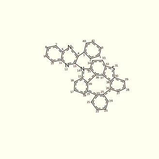 c1ccc(-c2nc3ccccc3nc2-n2c3cccc4c5ccccc5c5cccc6sc7ccc2c(c7c65)c43)cc1